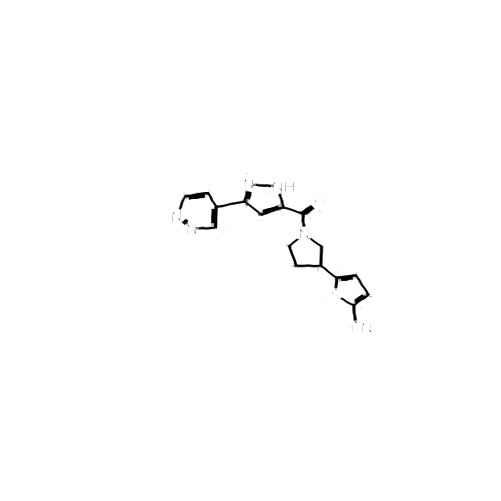 N#Cc1ccc(C2CCN(C(=O)c3cc(-c4ccnnc4)n[nH]3)C2)s1